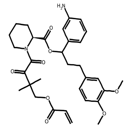 C=CC(=O)OCC(C)(C)C(=O)C(=O)N1CCCC[C@H]1C(=O)OC(CCc1ccc(OC)c(OC)c1)c1cccc(N)c1